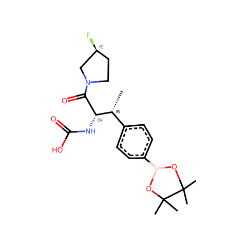 C[C@H](c1ccc(B2OC(C)(C)C(C)(C)O2)cc1)[C@H](NC(=O)O)C(=O)N1CC[C@H](F)C1